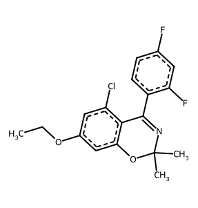 CCOc1cc(Cl)c2c(c1)OC(C)(C)N=C2c1ccc(F)cc1F